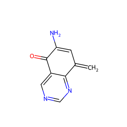 C=C1C=C(N)C(=O)c2cncnc21